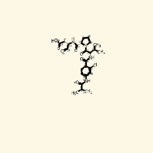 CC(C)C(=O)Nc1ccc(C(=O)N[C@H](C(=O)N2CCC[C@H]2C(=O)N[C@H](C=O)CC(=O)O)C(C)C)c(Cl)c1